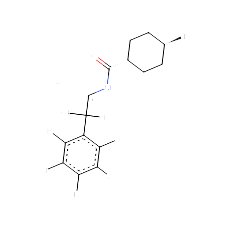 [2H]c1c([2H])c([2H])c(C([2H])([2H])[C@@H](NC(=O)[C@H]2CC[C@H](C(C)C)CC2)C(=O)O)c([2H])c1[2H]